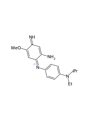 CCN(c1ccc(/N=C2/C=C(OC)C(=N)C=C2N)cc1)C(C)C